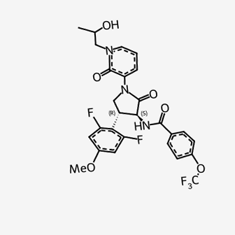 COc1cc(F)c([C@@H]2CN(c3cccn(CC(C)O)c3=O)C(=O)[C@H]2NC(=O)c2ccc(OC(F)(F)F)cc2)c(F)c1